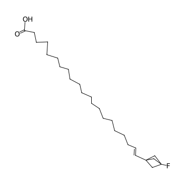 O=C(O)CCCCCCCCCCCCCCCCCCC=CC12CC(F)(C1)C2